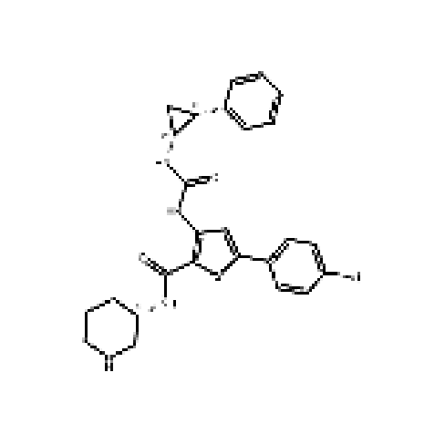 O=C(Nc1cc(-c2ccc(Cl)cc2)sc1C(=O)N[C@H]1CCCNC1)N[C@@H]1C[C@@H]1c1ccccc1